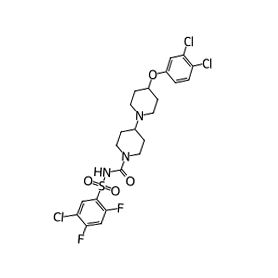 O=C(NS(=O)(=O)c1cc(Cl)c(F)cc1F)N1CCC(N2CCC(Oc3ccc(Cl)c(Cl)c3)CC2)CC1